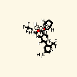 CC(C)(C)OC(=O)N1[C@@H]2CC[C@H]1CN(c1nc(OCC(F)(F)F)nc3c(F)c(-c4cc(N)cnc4C(F)(F)F)ncc13)C2